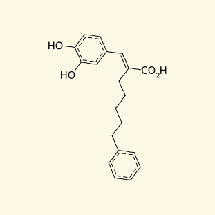 O=C(O)/C(=C/c1ccc(O)c(O)c1)CCCCCc1ccccc1